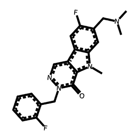 CN(C)Cc1cc2c(cc1F)c1cnn(Cc3ccccc3F)c(=O)c1n2C